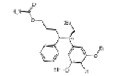 CCOc1cc([C@H](CC(C)(C)C)C(CCCOC(N)=O)c2ccccc2)cc(OCC)c1CC